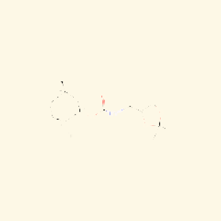 CC(C)[C@@H]1CC[C@@H](C)C[C@@H]1OC(=O)NCC1COC(C)(C)O1